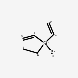 C=C[Si](Br)(C=C)CC